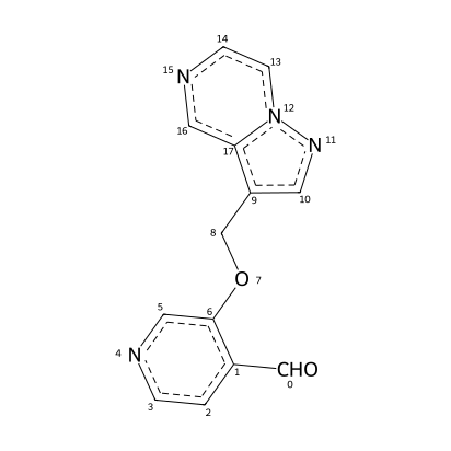 O=Cc1ccncc1OCc1cnn2ccncc12